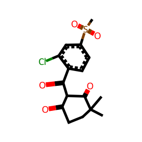 CC1(C)CCC(=O)C(C(=O)c2ccc(S(C)(=O)=O)cc2Cl)C1=O